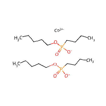 CCCCCOP(=O)([O-])CCCC.CCCCCOP(=O)([O-])CCCC.[Co+2]